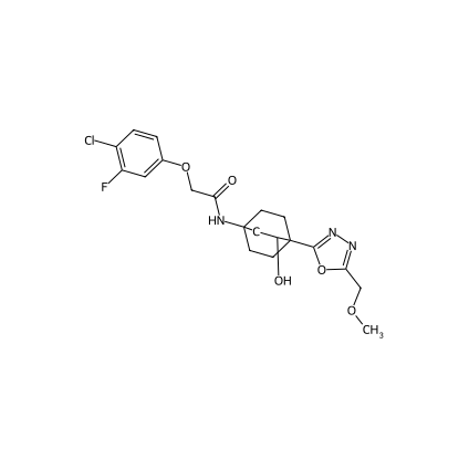 COCc1nnc(C23CCC(NC(=O)COc4ccc(Cl)c(F)c4)(CC2)CC3O)o1